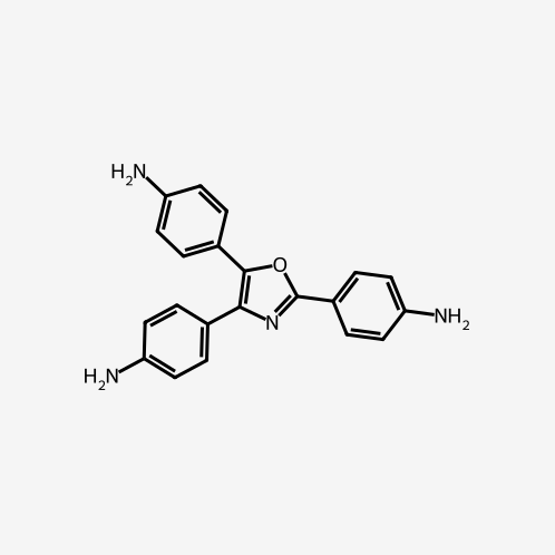 Nc1ccc(-c2nc(-c3ccc(N)cc3)c(-c3ccc(N)cc3)o2)cc1